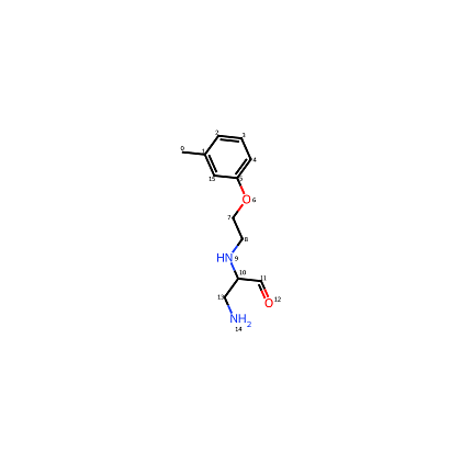 Cc1cccc(OCCNC(C=O)CN)c1